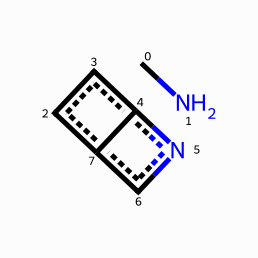 CN.c1cc2ncc1-2